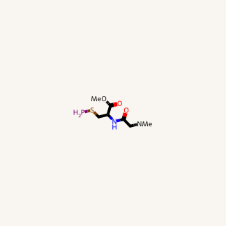 CNCC(=O)NC(CSP)C(=O)OC